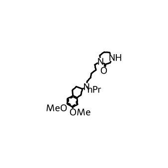 CCCN(CCCCCN1CCCNCC1=O)C1CCc2cc(OC)c(OC)cc2C1